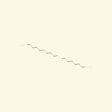 CCCCCCCCCCCCCCCCCCNNCCCCCCCCCCCCCCCC